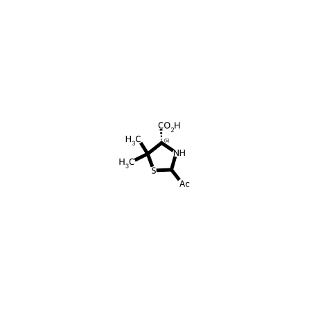 CC(=O)C1N[C@@H](C(=O)O)C(C)(C)S1